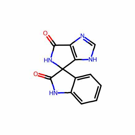 O=C1NC2(C(=O)Nc3ccccc32)c2[nH]cnc21